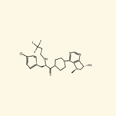 C[C@@H]1C[C@@H](O)c2ncnc(N3CCN(C(=O)[C@@H](Cc4ccc(Cl)cc4)NCCC(F)(F)F)CC3)c21